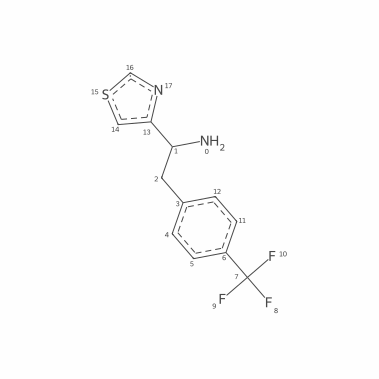 NC(Cc1ccc(C(F)(F)F)cc1)c1cs[c]n1